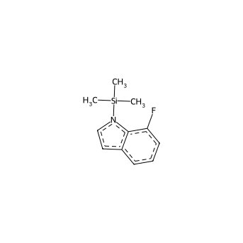 C[Si](C)(C)n1ccc2cccc(F)c21